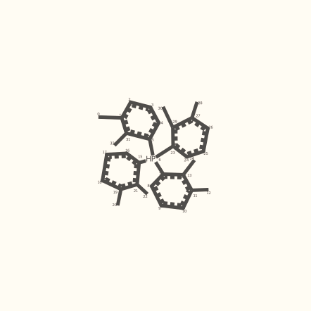 Cc1cccc([PH](c2cccc(C)c2C)(c2cccc(C)c2C)c2cccc(C)c2C)c1C